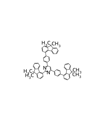 CC1(C)c2ccccc2-c2c(-c3ccc(-c4cc(-c5ccc(-c6cccc7c6-c6ccccc6C7(C)C)cc5)nc(-c5cccc6c5-c5ccccc5C6(C)C)n4)cc3)cccc21